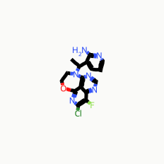 CC(c1cccnc1N)N1CCOc2nc(Cl)c(F)c3ncnc1c23